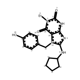 CCn1c(=O)[nH]c2nc(NC3CCCC3)n(Cc3ccc(O)cc3)c2c1=O